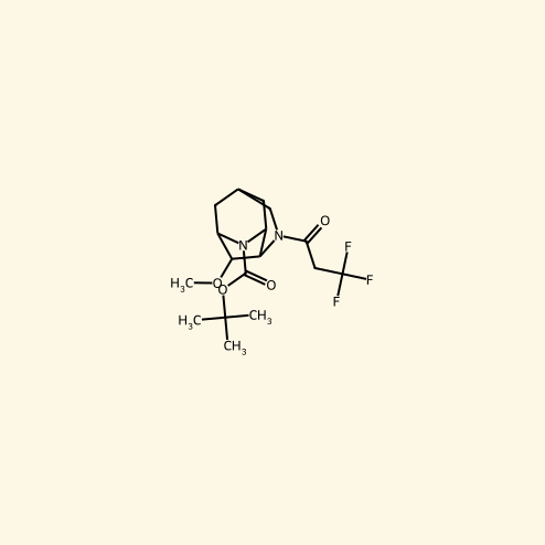 COC1C2C3CC(CC1N3C(=O)OC(C)(C)C)CN2C(=O)CC(F)(F)F